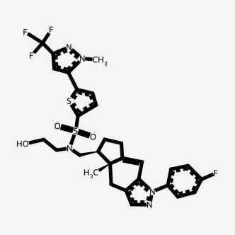 Cn1nc(C(F)(F)F)cc1-c1ccc(S(=O)(=O)N(CCO)C[C@H]2CCC3=Cc4c(cnn4-c4ccc(F)cc4)C[C@@]32C)s1